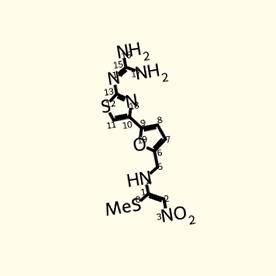 CSC(=C[N+](=O)[O-])NCc1ccc(-c2csc(N=C(N)N)n2)o1